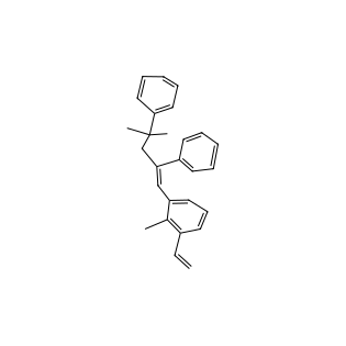 C=Cc1cccc(C=C(CC(C)(C)c2ccccc2)c2ccccc2)c1C